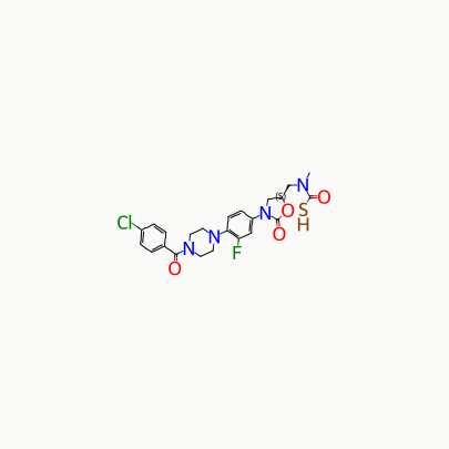 CN(C[C@@H]1CN(c2ccc(N3CCN(C(=O)c4ccc(Cl)cc4)CC3)c(F)c2)C(=O)O1)C(=O)S